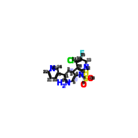 C=C(/C=c1\c(=C/N)n([SH](=O)=O)c2ncc(F)c(Cl)c12)c1cccnc1